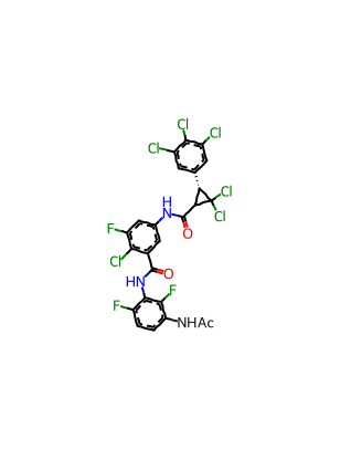 CC(=O)Nc1ccc(F)c(NC(=O)c2cc(NC(=O)C3[C@H](c4cc(Cl)c(Cl)c(Cl)c4)C3(Cl)Cl)cc(F)c2Cl)c1F